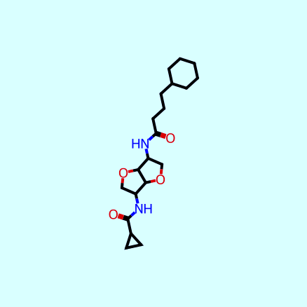 O=C(CCCC1CCCCC1)NC1COC2C(NC(=O)C3CC3)COC12